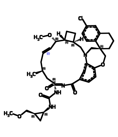 COC[C@@H]1C[C@@H]1NC(=O)N[S@@]1(=O)=NC(=O)c2ccc3c(c2)N(C[C@@H]2CC[C@H]2[C@@H](OC)/C=C/C[C@H](C)C1)C[C@@]1(CCCc2cc(Cl)ccc21)CO3